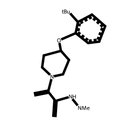 C=C(NNC)C(=C)N1CCC(Oc2ccccc2C(C)(C)C)CC1